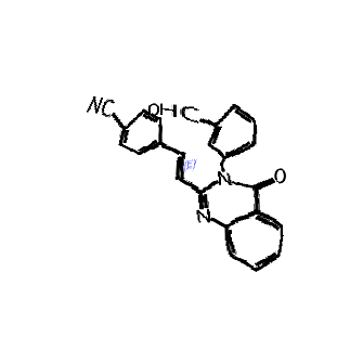 N#Cc1ccc(/C=C/c2nc3ccccc3c(=O)n2-c2cccc(C=O)c2)cc1